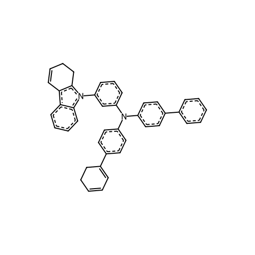 C1=CCCC(c2ccc(N(c3ccc(-c4ccccc4)cc3)c3cccc(-n4c5c(c6ccccc64)C=CCC5)c3)cc2)=C1